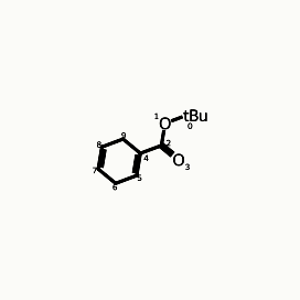 CC(C)(C)OC(=O)C1=CCC=CC1